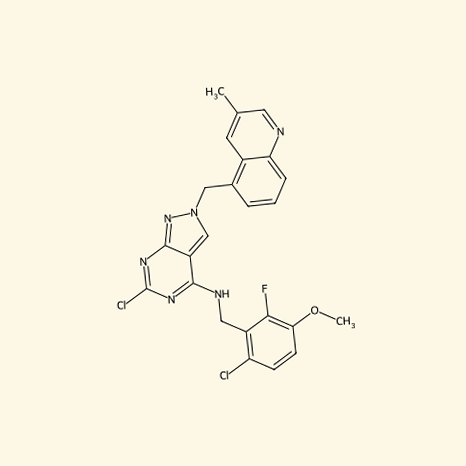 COc1ccc(Cl)c(CNc2nc(Cl)nc3nn(Cc4cccc5ncc(C)cc45)cc23)c1F